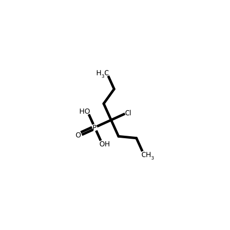 CCCC(Cl)(CCC)P(=O)(O)O